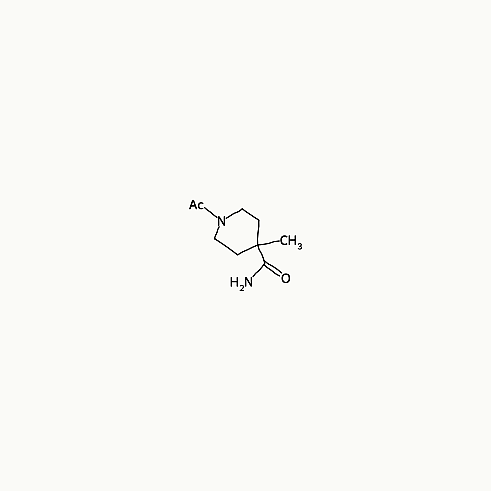 CC(=O)N1CCC(C)(C(N)=O)CC1